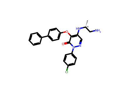 C[C@H](CN)Nc1cnn(-c2ccc(Cl)cc2)c(=O)c1Oc1ccc(-c2ccccc2)cc1